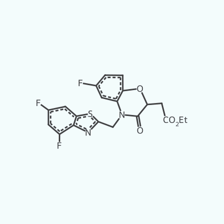 CCOC(=O)CC1Oc2ccc(F)cc2N(Cc2nc3c(F)cc(F)cc3s2)C1=O